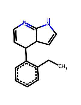 CCc1ccccc1C1C=CN=C2NC=CC21